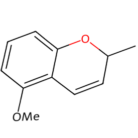 COc1cccc2c1C=CC(C)O2